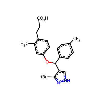 Cc1cc(OC(c2ccc(C(F)(F)F)cc2)c2c[nH]nc2C(C)(C)C)ccc1CCC(=O)O